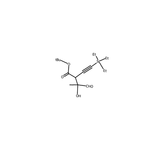 CC[Si](C#CC(C(=O)OC(C)(C)C)C(C)(O)C=O)(CC)CC